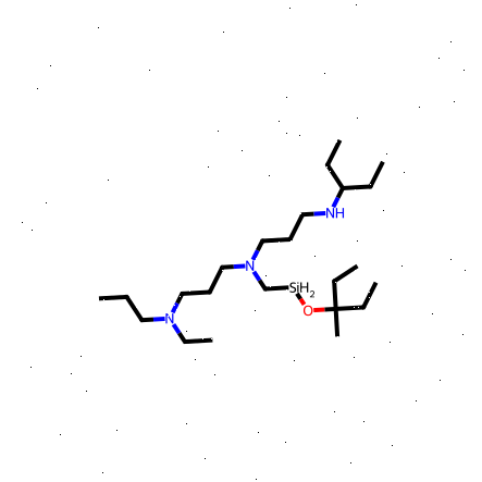 CCCN(CC)CCCN(CCCNC(CC)CC)C[SiH2]OC(C)(CC)CC